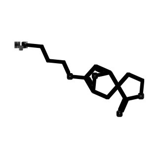 O=C1OCCC12Cc1oc2cc1OCCC[SiH3]